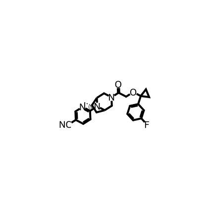 C[C@H]1CC2CN(C(=O)COC3(c4cccc(F)c4)CC3)CC1N2c1ccc(C#N)cn1